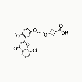 COc1ccc(OCCOC2CC(C(=O)O)C2)cc1-c1cc(=O)c2cccc(Cl)c2o1